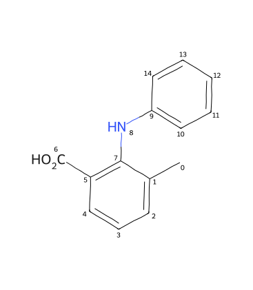 Cc1cccc(C(=O)O)c1Nc1ccccc1